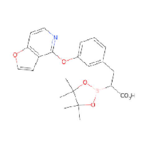 CC1(C)OB(C(Cc2cccc(Oc3nccc4occc34)c2)C(=O)O)OC1(C)C